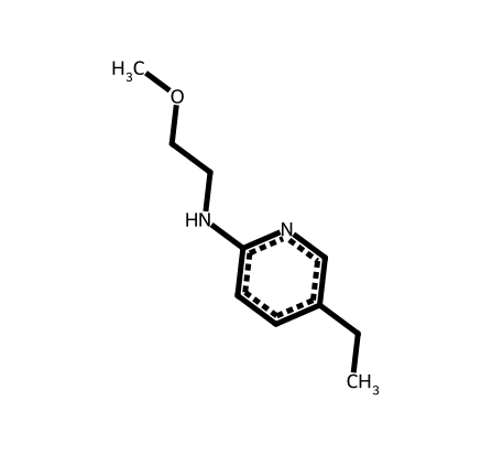 CCc1ccc(NCCOC)nc1